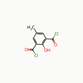 Cc1cc(C(=O)Cl)c(O)c(C(=O)Cl)c1